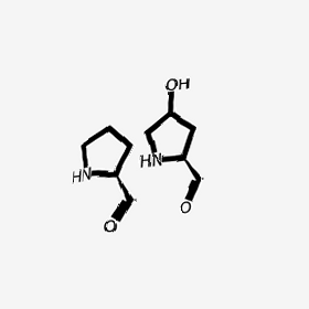 O=[C][C@@H]1CC(O)CN1.O=[C][C@@H]1CCCN1